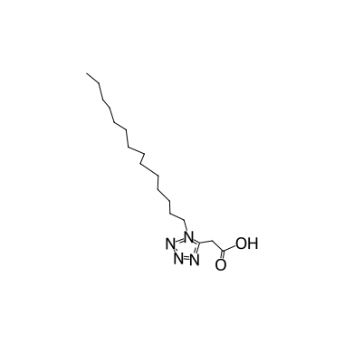 CCCCCCCCCCCCCCn1nnnc1CC(=O)O